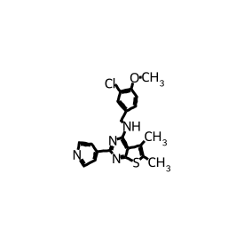 COc1ccc(CNc2nc(-c3ccncc3)nc3sc(C)c(C)c23)cc1Cl